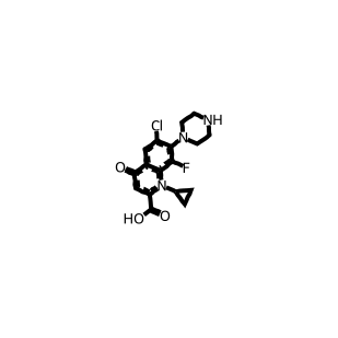 O=C(O)c1cc(=O)c2cc(Cl)c(N3CCNCC3)c(F)c2n1C1CC1